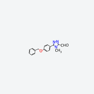 Cn1c(C=O)nnc1-c1ccc(OCc2ccccc2)cc1